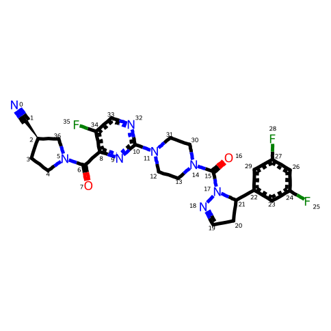 N#C[C@@H]1CCN(C(=O)c2nc(N3CCN(C(=O)N4N=CCC4c4cc(F)cc(F)c4)CC3)ncc2F)C1